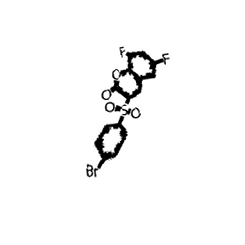 O=c1oc2c(F)cc(F)cc2cc1S(=O)(=O)c1ccc(Br)cc1